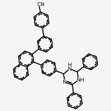 N#Cc1ccc(-c2cccc(-c3ccc4ccccc4c3-c3ccc(C4N=C(c5ccccc5)NC(c5ccccc5)N4)cc3)c2)cc1